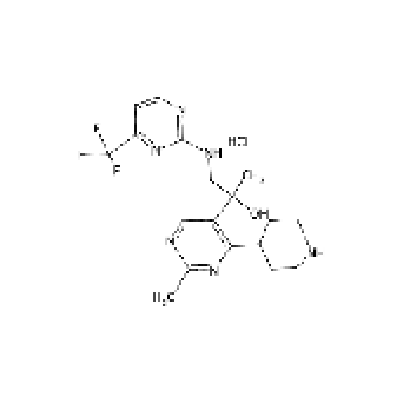 Cc1ncc(C(C)(O)CNc2nccc(C(F)(F)F)n2)c(C2CCNCC2)n1.Cl